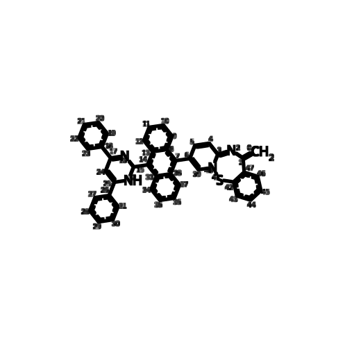 C=C1N=C2C=CC(c3c4ccccc4c(C4N=C(c5ccccc5)C=C(c5ccccc5)N4)c4ccccc34)=CN2Sc2ccccc21